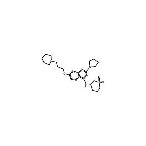 O=S1(=O)CCCC(Nc2nc(N3CCCC3)nc3cc(OCCCN4CCCCC4)ccc23)C1